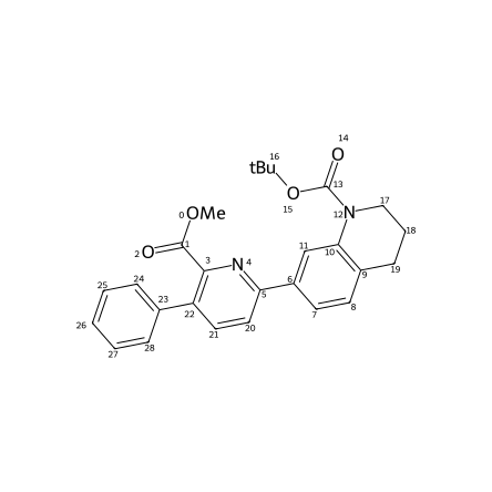 COC(=O)c1nc(-c2ccc3c(c2)N(C(=O)OC(C)(C)C)CCC3)ccc1-c1ccccc1